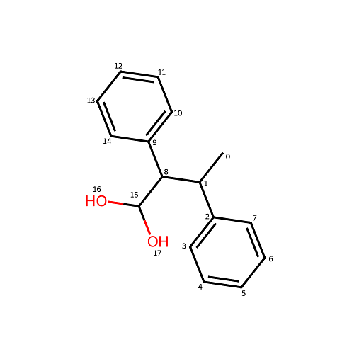 CC(c1ccccc1)C(c1ccccc1)C(O)O